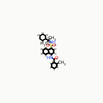 Cc1ccccc1C(=O)Nc1ccc(S(=O)(=O)NC(C)(C)C2CCCCC2)c2ccccc12